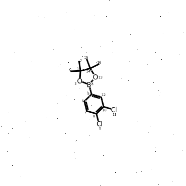 CC1(C)OB(c2ccc(Cl)c(Cl)c2)OC1(C)C